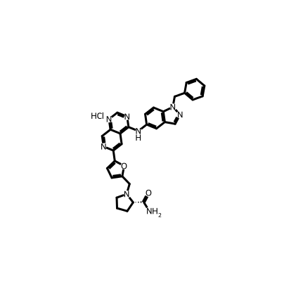 Cl.NC(=O)[C@@H]1CCCN1Cc1ccc(-c2cc3c(Nc4ccc5c(cnn5Cc5ccccc5)c4)ncnc3cn2)o1